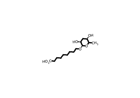 CC1O[C@@H](OCCCCCCCCC(=O)O)[C@@H](O)C[C@H]1O